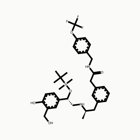 C[C@H](Cc1cccc(CC(=O)NCc2ccc(OC(F)(F)F)cc2)c1)NC[C@@H](O[Si](C)(C)C(C)(C)C)c1ccc(O)c(CO)c1